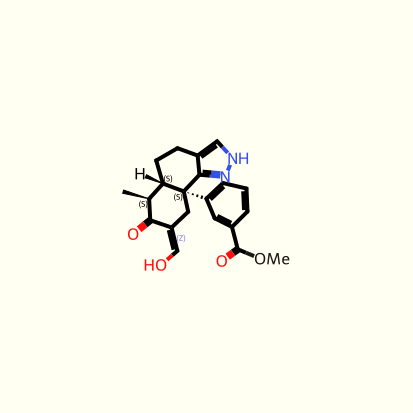 COC(=O)c1cccc([C@]23C/C(=C/O)C(=O)[C@@H](C)[C@@H]2CCc2c[nH]nc23)c1